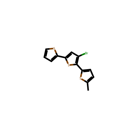 Cc1ccc(-c2sc(-c3cccs3)cc2Br)s1